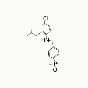 CC(C)Cc1cc(Cl)ccc1NCc1ccc(P(C)(C)=O)cc1